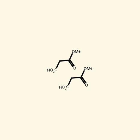 COC(=O)CC(=O)O.COC(=O)CC(=O)O